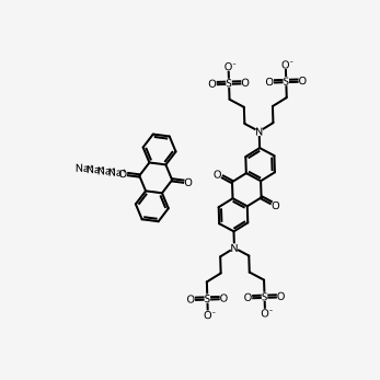 O=C1c2ccc(N(CCCS(=O)(=O)[O-])CCCS(=O)(=O)[O-])cc2C(=O)c2ccc(N(CCCS(=O)(=O)[O-])CCCS(=O)(=O)[O-])cc21.O=C1c2ccccc2C(=O)c2ccccc21.[Na+].[Na+].[Na+].[Na+]